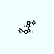 c1csc(-c2cccc3[nH]c(-c4n[nH]c5ccc(-c6cnccn6)cc45)cc23)c1